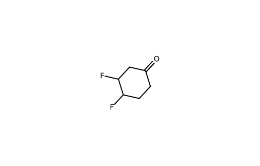 O=C1CCC(F)C(F)C1